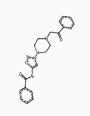 O=C(CN1CCN([n+]2cc([N-]C(=O)c3ccccc3)on2)CC1)c1ccccc1